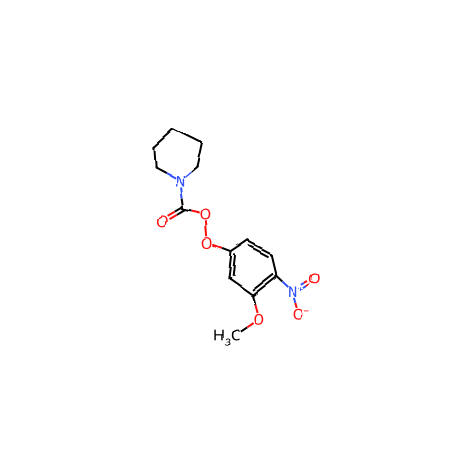 COc1cc(OOC(=O)N2CCCCC2)ccc1[N+](=O)[O-]